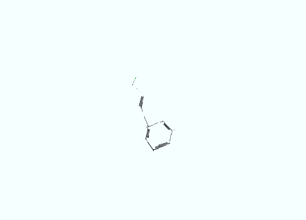 BrC/C=C/c1[c]cccc1